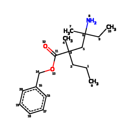 CCCC(C)(CC(C)(N)CC)C(=O)OCc1ccccc1